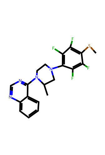 CSc1c(F)c(F)c(N2CCN(c3ncnc4ccccc34)C(C)C2)c(F)c1F